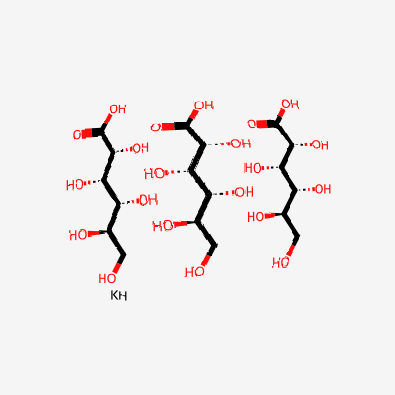 O=C(O)[C@H](O)[C@@H](O)[C@H](O)[C@H](O)CO.O=C(O)[C@H](O)[C@@H](O)[C@H](O)[C@H](O)CO.O=C(O)[C@H](O)[C@@H](O)[C@H](O)[C@H](O)CO.[KH]